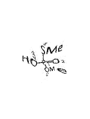 COP(=O)(O)SC